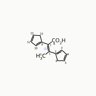 C/C(C1=CC=CC1)=C(/C(=O)O)C1=CC=CC1